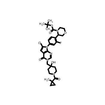 CC(C)(C)OC(=O)N1CCOCC1c1ccc(-n2c(Cl)cc3c(=O)n(CC4(O)CCN(C(=O)C5(C)CC5)CC4)cnc32)cc1F